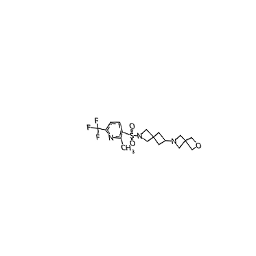 Cc1nc(C(F)(F)F)ccc1S(=O)(=O)N1CC2(CC(N3CC4(COC4)C3)C2)C1